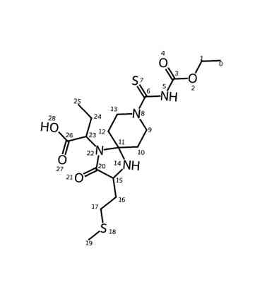 CCOC(=O)NC(=S)N1CCC2(CC1)NC(CCSC)C(=O)N2C(CC)C(=O)O